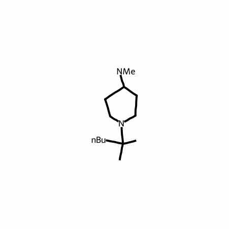 CCCCC(C)(C)N1CCC(NC)CC1